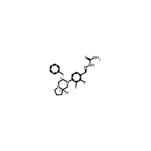 NC(=S)NN=Cc1ccc(N2C[C@@H]3CCCN3C[C@@H]2Cc2ccccc2)c(F)c1F